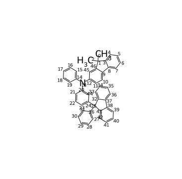 CC1(C)c2ccccc2-c2ccc(N(c3ccccc3)c3cccc(C4(c5ccccc5)c5ccccc5-c5ccccc54)c3)cc21